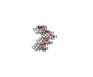 CCCOC(OCCC)(C(=O)[O-])C(=O)C(CC)CC.CCCOC(OCCC)(C(=O)[O-])C(=O)C(CC)CC.CCCOC(OCCC)(C(=O)[O-])C(=O)C(CC)CC.CCCOC(OCCC)(C(=O)[O-])C(=O)C(CC)CC.[Hf+4]